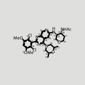 COc1cc(OC)c(Cl)c(-c2nc(N3CC(C)OC(C)C3)c3cc(N[C@@H]4COCC[C@@H]4NC(C)=O)ncc3n2)c1Cl